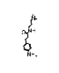 CN(C)CCCNC(=O)CCc1ccc(N)cc1